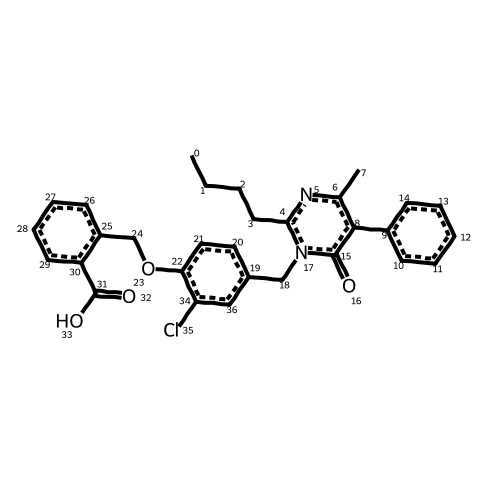 CCCCc1nc(C)c(-c2ccccc2)c(=O)n1Cc1ccc(OCc2ccccc2C(=O)O)c(Cl)c1